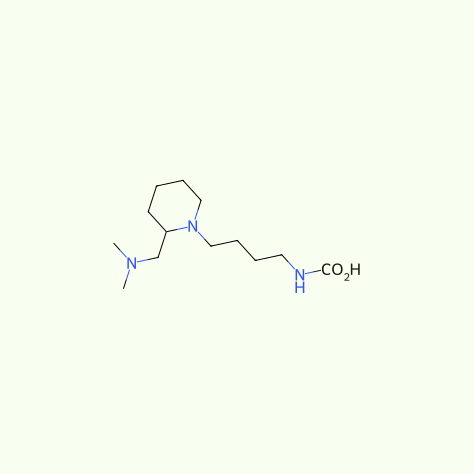 CN(C)CC1CCCCN1CCCCNC(=O)O